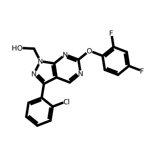 OCn1nc(-c2ccccc2Cl)c2cnc(Oc3ccc(F)cc3F)nc21